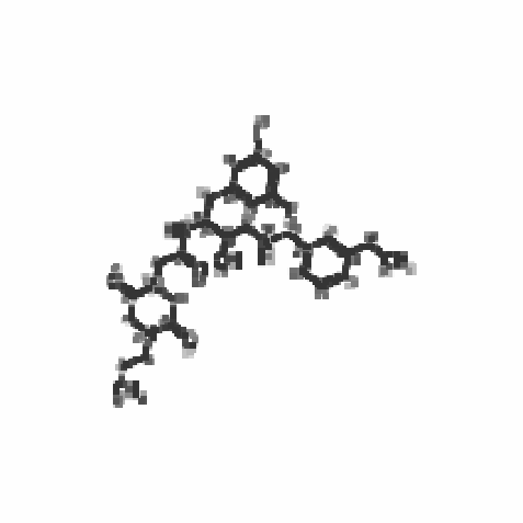 CCCN1CC(=O)N(CC(=O)N[C@@H](Cc2cc(F)cc(F)c2)[C@H](O)CNCc2cccc(CC)c2)CC1=O